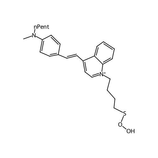 CCCCCN(C)c1ccc(C=Cc2cc[n+](CCCCSOO)c3ccccc23)cc1